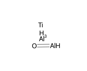 [AlH3].[O]=[AlH].[Ti]